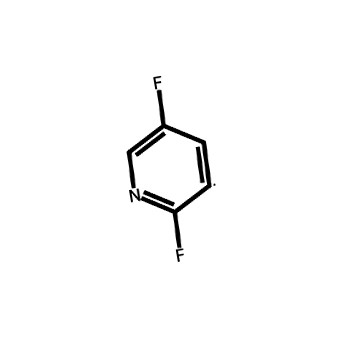 Fc1c[c]c(F)nc1